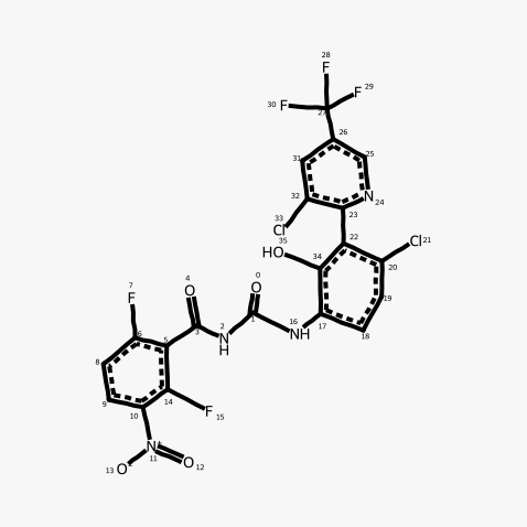 O=C(NC(=O)c1c(F)ccc([N+](=O)[O-])c1F)Nc1ccc(Cl)c(-c2ncc(C(F)(F)F)cc2Cl)c1O